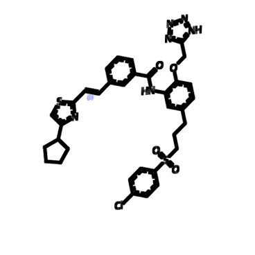 O=C(Nc1cc(CCCS(=O)(=O)c2ccc(Cl)cc2)ccc1OCc1nnn[nH]1)c1cccc(/C=C/c2nc(C3CCCC3)cs2)c1